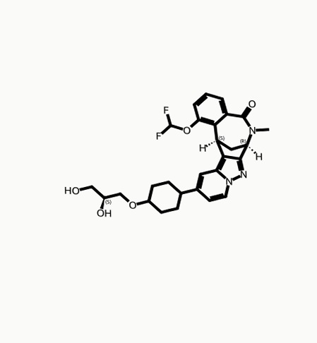 CN1C(=O)c2cccc(OC(F)F)c2[C@H]2C[C@@H]1c1nn3ccc(C4CCC(OC[C@@H](O)CO)CC4)cc3c12